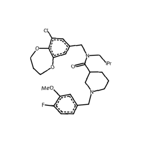 COc1cc(CN2CCCC(C(=O)N(Cc3cc(Cl)c4c(c3)OCCCO4)CC(C)C)C2)ccc1F